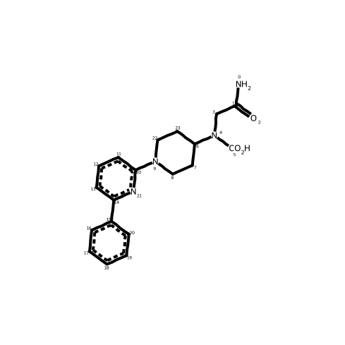 NC(=O)CN(C(=O)O)C1CCN(c2cccc(-c3ccccc3)n2)CC1